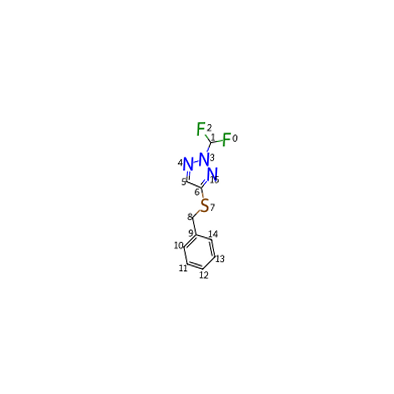 FC(F)n1ncc(SCc2ccccc2)n1